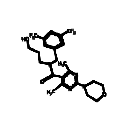 Cc1nc(N2CCOCC2)nc(C)c1C(=O)N(CCCO)Cc1cc(C(F)(F)F)cc(C(F)(F)F)c1